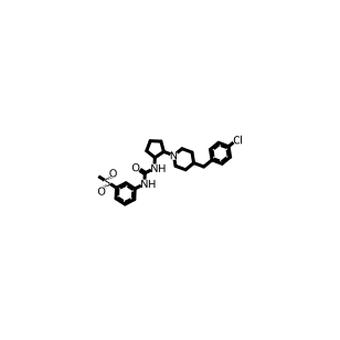 CS(=O)(=O)c1cccc(NC(=O)NC2CCCC2N2CCC(Cc3ccc(Cl)cc3)CC2)c1